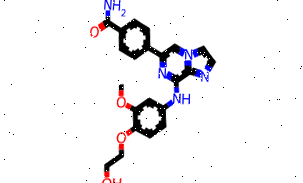 COc1cc(Nc2nc(-c3ccc(C(N)=O)cc3)cn3ccnc23)ccc1OCCO